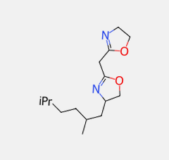 CC(C)CCC(C)CC1COC(CC2=NCCO2)=N1